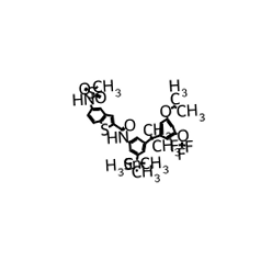 CC(C)Oc1cc(OC(F)(F)F)cc(C(C)(C)c2cc(NC(=O)c3cc4cc(NS(C)(=O)=O)ccc4s3)c[c]([Sn]([CH3])([CH3])[CH3])c2)c1